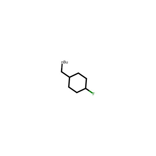 CCCCC[C]1CCC(F)CC1